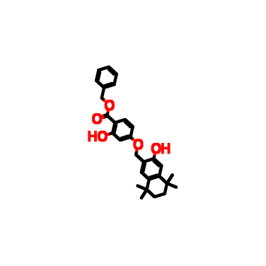 CC1(C)CCC(C)(C)c2cc(COc3ccc(C(=O)OCc4ccccc4)c(O)c3)c(O)cc21